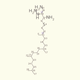 C/C(=C\CSCC(N)/C(=C/N)NN)CCCC(C)CCCC(C)CCCC(C)C